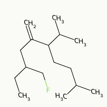 C=C(CC(CC)CF)C(CCC(C)C)C(C)C